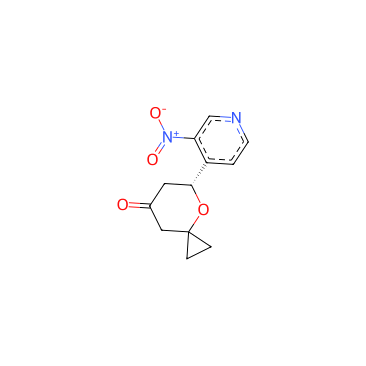 O=C1C[C@H](c2ccncc2[N+](=O)[O-])OC2(CC2)C1